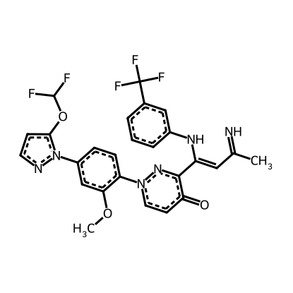 COc1cc(-n2nccc2OC(F)F)ccc1-n1ccc(=O)c(/C(=C/C(C)=N)Nc2cccc(C(F)(F)F)c2)n1